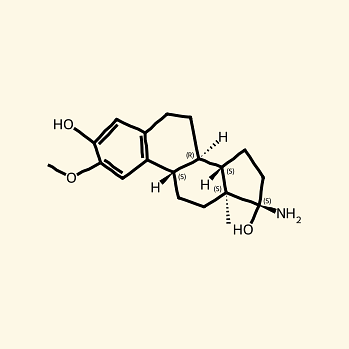 COc1cc2c(cc1O)CC[C@@H]1[C@@H]2CC[C@@]2(C)[C@H]1CC[C@]2(N)O